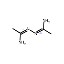 C/C(N)=N/N=C(/C)N